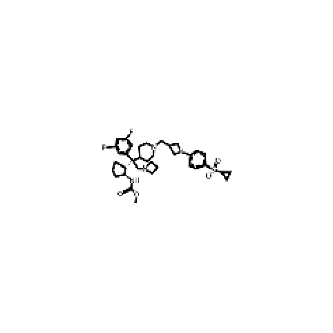 COC(=O)N[C@H]1CCC[C@@H]1C(CN1CCC1)(c1cc(F)cc(F)c1)C1CCN(CC2CN(c3ccc(S(=O)(=O)C4CC4)cc3)C2)CC1